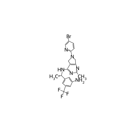 Cc1nc2c(c(N[C@H](C)c3cc(N)cc(C(F)(F)F)c3)n1)CN(c1ccc(Br)cn1)C2